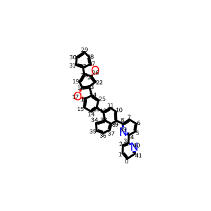 c1ccc(-c2cccc(-c3ccc(-c4ccc5oc6cc7c(cc6c5c4)oc4ccccc47)c4ccccc34)n2)nc1